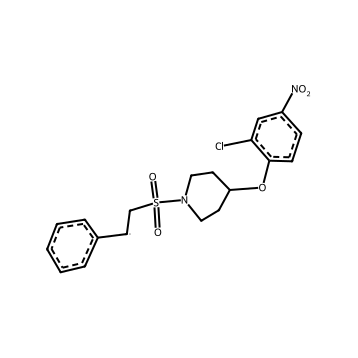 O=[N+]([O-])c1ccc(OC2CCN(S(=O)(=O)C[CH]c3ccccc3)CC2)c(Cl)c1